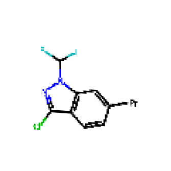 CC(C)c1ccc2c(Cl)nn(C(F)F)c2c1